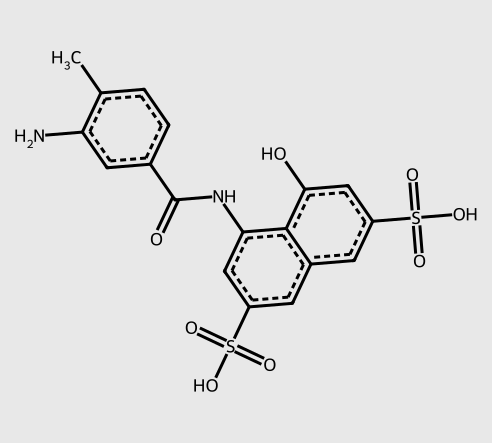 Cc1ccc(C(=O)Nc2cc(S(=O)(=O)O)cc3cc(S(=O)(=O)O)cc(O)c23)cc1N